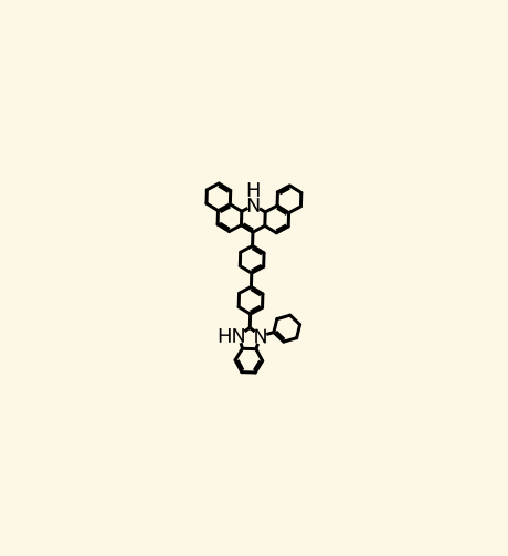 C1=CC2NC(C3=CC=C(C4=CC=C(C5=C6C=CC7=C(C=CCC7)C6NC6C7=C(C=CC56)CCC=C7)CC4)CC3)N(C3=CCCCC3)C2C=C1